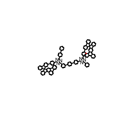 c1ccc(-c2ccc(-c3nc(-c4ccc(-c5ccc6c(c5)C5(c7ccccc7-6)c6ccccc6-c6c5cc5c7c(cccc67)-c6ccccc6-5)cc4)nc(-c4cccc(-c5ccc(-c6ccc(-c7nc(-c8ccccc8)nc(-c8ccc(-c9ccc%10c(c9)C9(c%11ccccc%11-%10)c%10ccccc%10-c%10cc%11c%12ccccc%12c%12ccccc%12c%11cc%109)cc8)n7)cc6)cc5)c4)n3)cc2)cc1